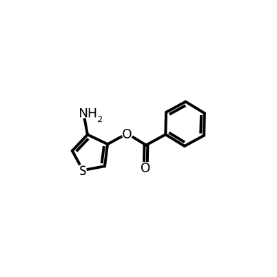 Nc1cscc1OC(=O)c1ccccc1